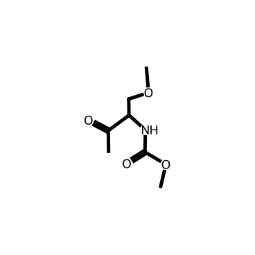 COCC(NC(=O)OC)C(C)=O